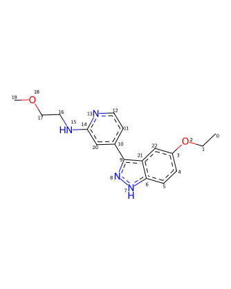 CCOc1ccc2[nH]nc(-c3ccnc(NCCOC)c3)c2c1